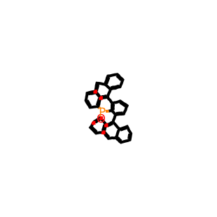 COc1ccc2ccccc2c1-c1cccc(-c2c(C)ccc3ccccc23)c1P(c1ccccc1)c1ccccc1